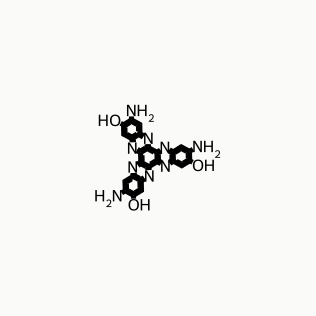 Nc1cc2nc3c4nc5cc(N)c(O)cc5nc4c4nc5cc(O)c(N)cc5nc4c3nc2cc1O